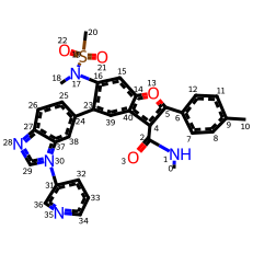 CNC(=O)c1c(-c2ccc(C)cc2)oc2cc(N(C)S(C)(=O)=O)c(-c3ccc4ncn(-c5cccnc5)c4c3)cc12